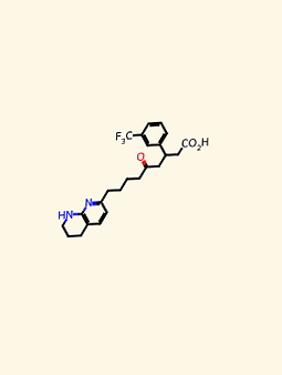 O=C(O)CC(CC(=O)CCCCc1ccc2c(n1)NCCC2)c1cccc(C(F)(F)F)c1